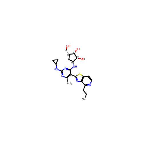 Cc1nc(NC2CC2)nc(N[C@@H]2C[C@H](CO)[C@@H](O)[C@H]2O)c1-c1nc2c(CCC#N)nccc2s1